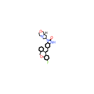 O=c1[nH]c2cc(/C=C3\c4ccccc4COc4cc(F)ccc43)ccc2n1C1C[C@@H]2COCCN2C1